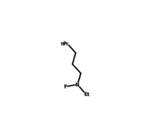 CCCCCCN(F)CC